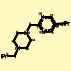 CC(C)CN1CCN(Cc2ncc(C(C)C)cn2)CC1